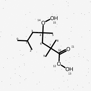 CC(C)CC(C)(CC(C)(C)C(=O)OO)OO